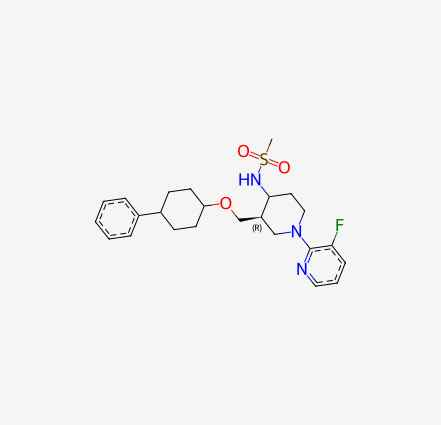 CS(=O)(=O)NC1CCN(c2ncccc2F)C[C@H]1COC1CCC(c2ccccc2)CC1